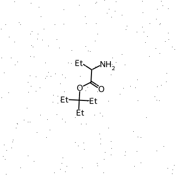 CCC(N)C(=O)OC(CC)(CC)CC